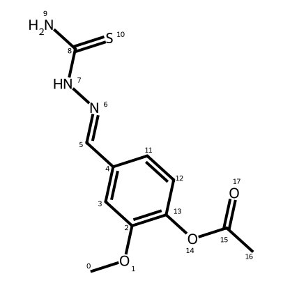 COc1cc(C=NNC(N)=S)ccc1OC(C)=O